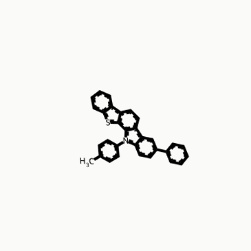 Cc1ccc(-n2c3ccc(-c4ccccc4)cc3c3ccc4c5ccccc5sc4c32)cc1